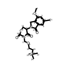 COc1cc(I)cc2c1CN(C1CCC(=O)N(COCC[Si](C)(C)C)C1=O)C2=O